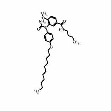 CCCCCCCCCCCOc1ccc(N(C(N)=O)c2cc(C(=O)NCCCC)ccc2OC)cc1